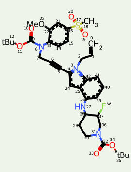 C=CCn1c(C#CCN(C(=O)OC(C)(C)C)c2ccc(S(C)(=O)=O)cc2OC)cc2c(NC3CCN(C(=O)OC(C)(C)C)CC3F)cccc21